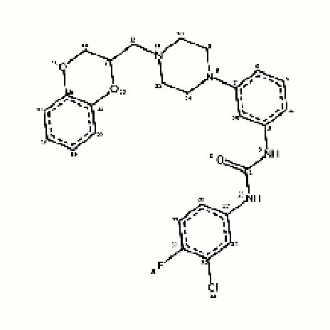 O=C(Nc1cccc(N2CCN(CC3COc4ccccc4O3)CC2)c1)Nc1ccc(F)c(Cl)c1